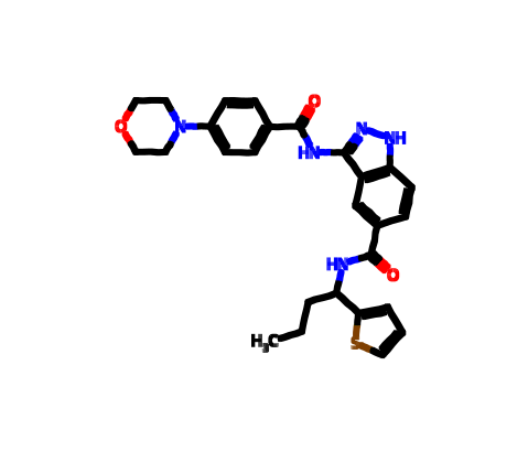 CCCC(NC(=O)c1ccc2[nH]nc(NC(=O)c3ccc(N4CCOCC4)cc3)c2c1)c1cccs1